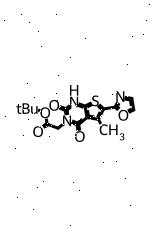 Cc1c(-c2ncco2)sc2[nH]c(=O)n(CC(=O)OC(C)(C)C)c(=O)c12